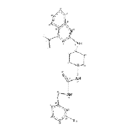 CN(C)c1nc(N[C@H]2CC[C@@H](NC(=O)NCc3cccc(F)c3)CC2)nc2ccccc12